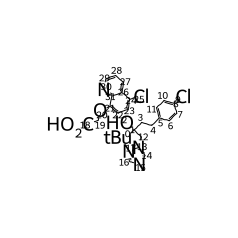 CC(C)(C)C(O)(CCc1ccc(Cl)cc1)Cn1cncn1.O=C(O)COc1ccc(Cl)c2cccnc12